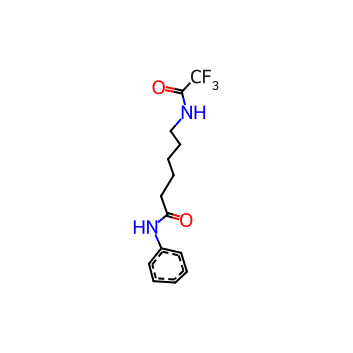 O=C(CCCCCNC(=O)C(F)(F)F)Nc1ccccc1